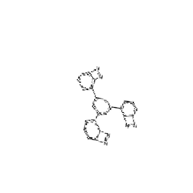 c1cc2c(c(-c3cc(-c4cccc5c4N=N5)cc(-c4cccc5c4N=N5)c3)c1)N=N2